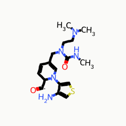 CNC(=O)N(CCN(C)C)CC1=CN(c2cscc2N)C([C]=O)C=C1